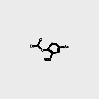 CCC(Cl)Oc1ccc(C(C)=O)cc1OC